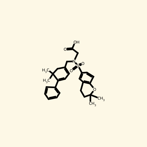 CC1(C)CCc2cc(S(=O)(=O)N(CC(=O)O)CC3=CC=C(c4ccccc4)C(C)(C)C3)ccc2O1